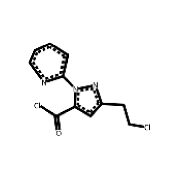 O=C(Cl)c1cc(CCCl)nn1-c1ccccn1